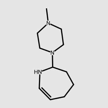 CN1CCN(C2CCCC=CN2)CC1